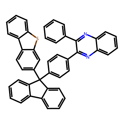 c1ccc(-c2nc3ccccc3nc2-c2ccc(C3(c4ccc5c(c4)sc4ccccc45)c4ccccc4-c4ccccc43)cc2)cc1